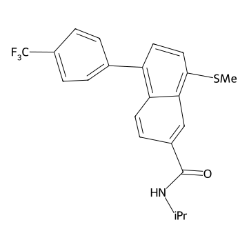 CSc1ccc(-c2ccc(C(F)(F)F)cc2)c2ccc(C(=O)NC(C)C)cc12